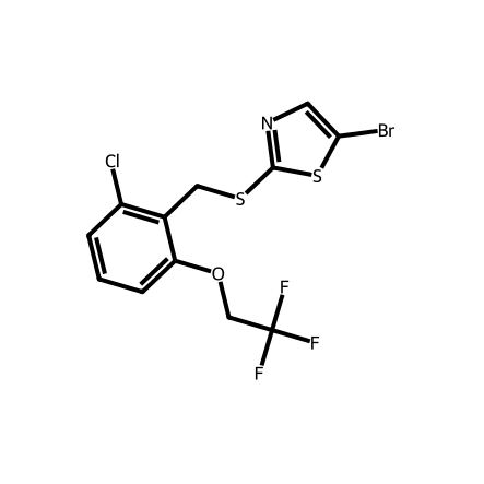 FC(F)(F)COc1cccc(Cl)c1CSc1ncc(Br)s1